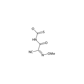 CON=C(C#N)C(=O)NC([O])=S